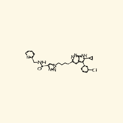 O=C(NCc1ccccn1)c1cn(CCCCc2cc3c(-c4cccc(Cl)c4)c(C4CC4)[nH]c3nn2)nn1